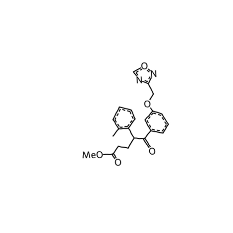 COC(=O)CCC(C(=O)c1cccc(OCc2ncon2)c1)c1ccccc1C